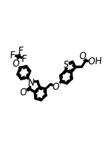 O=C(O)Cc1csc2cc(OCc3cccc4c3CN(c3ccc(OC(F)(F)F)cc3)C4=O)ccc12